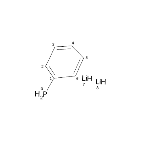 Pc1ccccc1.[LiH].[LiH]